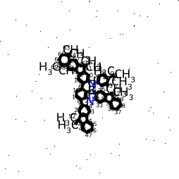 CC(C)(C)c1ccc(Nc2cc3c(cc2-c2ccc4c5cc6c(cc5n5c4c2Bc2cc4c(cc2-5)-c2ccccc2C4(C)C)-c2ccccc2C6(C)C)-c2cc4c(cc2C3(C)C)C(C)(C)CCC4(C)C)cc1